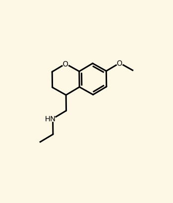 CCNCC1CCOc2cc(OC)ccc21